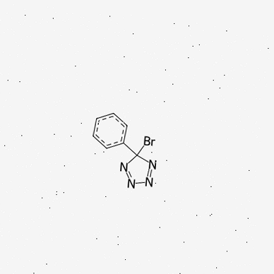 BrC1(c2ccccc2)N=NN=N1